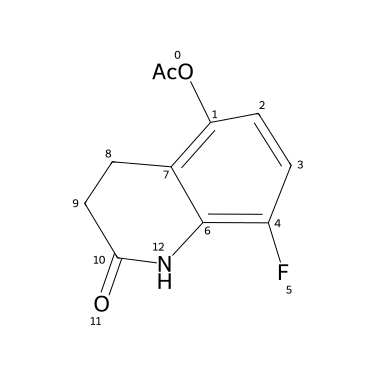 CC(=O)Oc1ccc(F)c2c1CCC(=O)N2